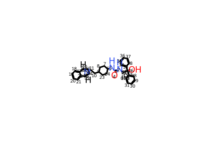 CC(C)[C@H](NC(=O)NC1CCC(CCN2[C@@H]3CC[C@H]2c2ccccc23)CC1)C(O)(c1ccccc1)c1ccccc1